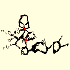 CS(=O)(=O)c1c(C2CC3CCC(C2)N3C(=O)c2nnc[nH]2)nc2c(-c3ccc(-c4ccc(F)c(F)c4)nc3)cnn2c1N